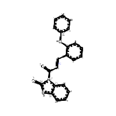 O=C(/C=C/c1ccccc1Oc1ccccc1)n1c(=O)oc2ccccc21